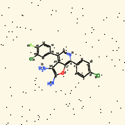 Nc1oc2c(-c3ccc(Cl)cc3)ncc(-c3ccc(F)c(Cl)c3)c2c1N